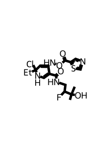 CCC1(Cl)C=C(NOC(=O)c2cncs2)C(C(=O)NCC(F)C(C)(C)O)=CN1